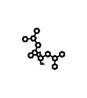 CC(C)(C)c1cc(-c2cccc(-c3cc(-c4ccccc4)cc(-c4ccccc4)c3)c2)c2sc3c(-c4cccc(-c5cc(-c6ccccc6)cc(-c6ccccc6)c5)c4)cc4ccccc4c3c2c1